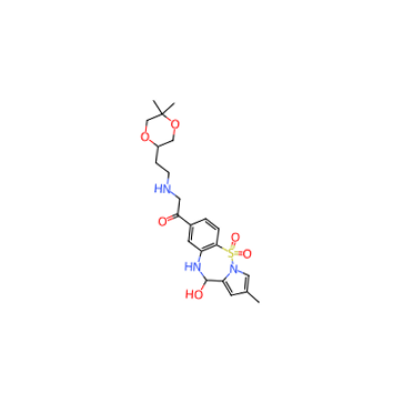 Cc1cc2n(c1)S(=O)(=O)c1ccc(C(=O)CNCCC3COC(C)(C)CO3)cc1NC2O